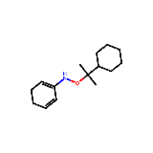 CC(C)(ONC1=CCCC=C1)C1CCCCC1